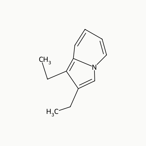 CCc1cn2ccccc2c1CC